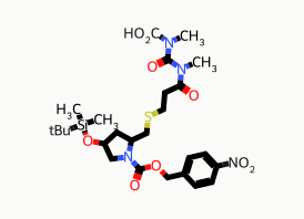 CN(C(=O)O)C(=O)N(C)C(=O)CCSCC1CC(O[Si](C)(C)C(C)(C)C)CN1C(=O)OCc1ccc([N+](=O)[O-])cc1